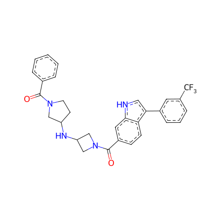 O=C(c1ccccc1)N1CCC(NC2CN(C(=O)c3ccc4c(-c5cccc(C(F)(F)F)c5)c[nH]c4c3)C2)C1